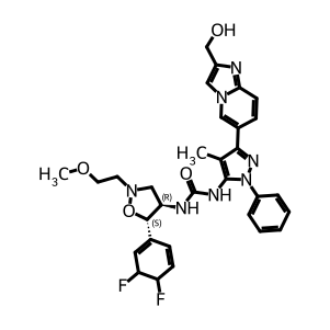 COCCN1C[C@@H](NC(=O)Nc2c(C)c(-c3ccc4nc(CO)cn4c3)nn2-c2ccccc2)[C@H](C2=CC(F)C(F)C=C2)O1